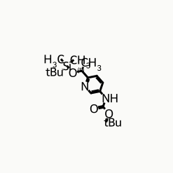 C[C@H](O[Si](C)(C)C(C)(C)C)c1ccc(NC(=O)OC(C)(C)C)cn1